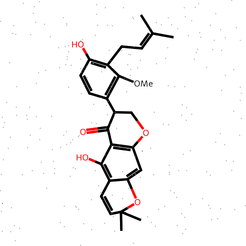 COc1c(C2COc3cc4c(c(O)c3C2=O)C=CC(C)(C)O4)ccc(O)c1CC=C(C)C